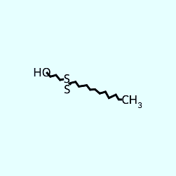 CCCCCCCCCCCC(=S)SCCCO